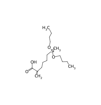 C=C(CCCC[Si](C)(OCCCC)OCCCC)C(=O)O